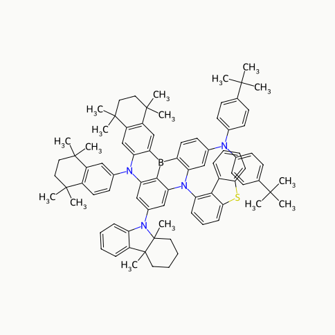 CC(C)(C)c1ccc(N(c2ccc(C(C)(C)C)cc2)c2ccc3c(c2)N(c2cccc4sc5ccccc5c24)c2cc(N4c5ccccc5C5(C)CCCCC45C)cc4c2B3c2cc3c(cc2N4c2ccc4c(c2)C(C)(C)CCC4(C)C)C(C)(C)CCC3(C)C)cc1